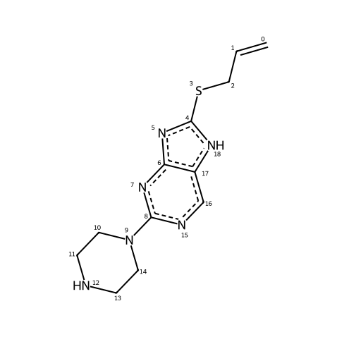 C=CCSc1nc2nc(N3CCNCC3)ncc2[nH]1